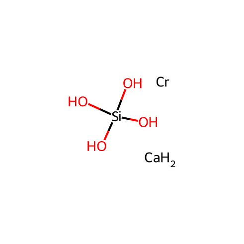 O[Si](O)(O)O.[CaH2].[Cr]